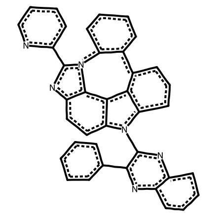 c1ccc(-c2nc3ccccc3nc2-n2c3cccc4c5ccccc5n5c(-c6ccccn6)nc6ccc2c(c43)c65)cc1